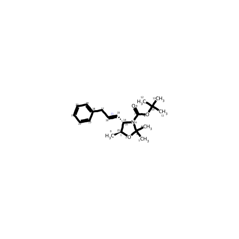 C[C@@H]1OC(C)(C)N(C(=O)OC(C)(C)C)[C@H]1/C=C/Cc1ccccc1